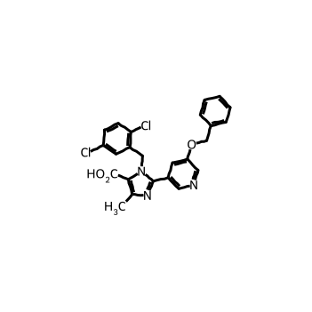 Cc1nc(-c2cncc(OCc3ccccc3)c2)n(Cc2cc(Cl)ccc2Cl)c1C(=O)O